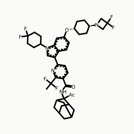 CC(=O)C1(NC(=O)c2ccc(-c3cn(C4CCC(F)(F)CC4)c4cc(O[C@H]5CC[C@H](N6CC(F)(F)C6)CC5)ccc34)nc2C(C)(F)F)C2CC3CC(C2)CC1C3